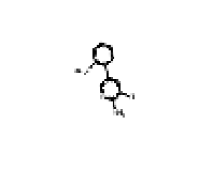 Nc1ncc(-c2ccccc2C(=O)O)cc1Cl